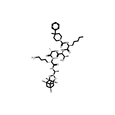 CCCCC[C@H](NC(=O)N1CCC(C)(c2ccccc2)CC1)C(=O)N[C@H](C(=O)N[C@@H](C)C(=O)N[C@@H](CCCCN)C(=O)N[C@@H](C)B1O[C@@H]2C[C@@H]3C[C@@H](C3(C)C)[C@]2(C)O1)[C@@H](C)O